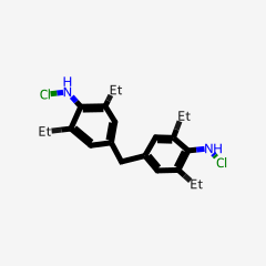 CCc1cc(Cc2cc(CC)c(NCl)c(CC)c2)cc(CC)c1NCl